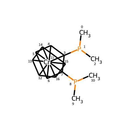 CP(C)[C]12[CH]3[CH]4[CH]5[C]1(P(C)C)[Cr]43521678[CH]2[CH]1[CH]6[CH]7[CH]28